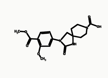 COC(=O)c1ccc(N2CC3(CCN(C(=O)O)CC3)NC2=O)cc1OC